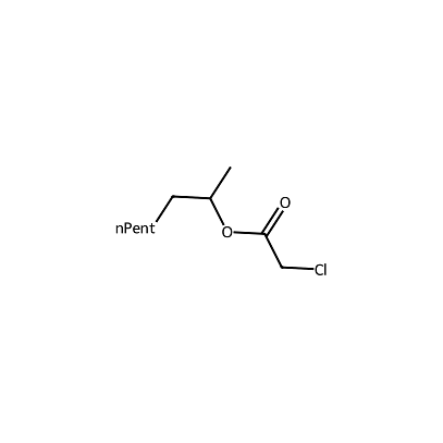 CCCCCCC(C)OC(=O)CCl